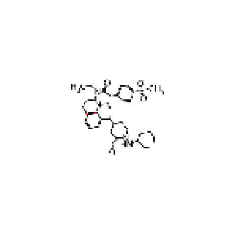 CCN(C(=O)Cc1ccc(S(C)(=O)=O)cc1)C1CCCCN1CCC(c1ccccc1)C1CCN(NC2CCCCC2)C(=C=O)C1